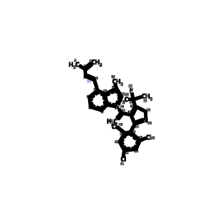 C=C(C)/C=C/c1cccc2c1c(C)cn2C(=C)C1=C(C(C)(C)F)CN=C1c1c(Cl)cc(Cl)cc1Cl